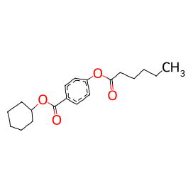 CCCCCC(=O)Oc1ccc(C(=O)OC2CCCCC2)cc1